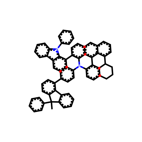 CC1(c2ccccc2)c2ccccc2-c2c(-c3ccc(N(c4ccccc4-c4cccc5cccc(C6CCCCC6)c45)c4ccccc4-c4cccc5c6ccccc6n(-c6ccccc6)c45)cc3)cccc21